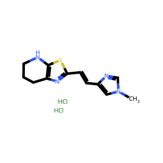 Cl.Cl.Cn1cnc(C=Cc2nc3c(s2)NCCC3)c1